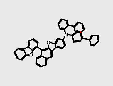 c1ccc(-c2ccc(N(c3ccc4c(c3)oc3c(-c5cccc6c5oc5ccccc56)c5ccccc5cc34)c3ccccc3-c3ccccc3)cc2)cc1